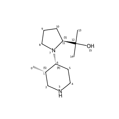 C[C@H]1CNCC[C@H]1N1CCC[C@H]1C(C)(C)O